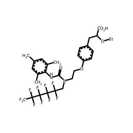 CCOC(Cc1ccc(OCCN(CC(F)(F)C(F)(F)C(F)(F)C(F)(F)C(F)(F)F)C(=O)Nc2c(C)cc(C)cc2C)cc1)C(=O)O